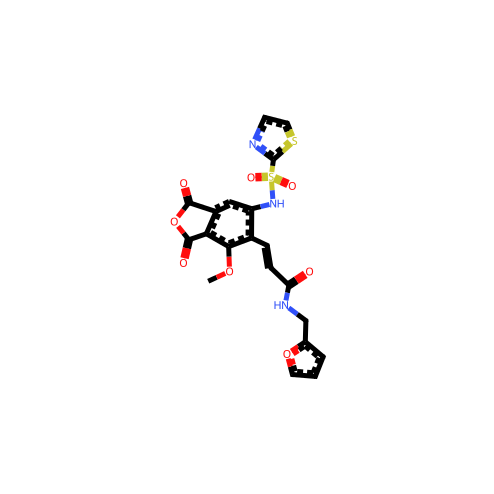 COc1c(C=CC(=O)NCc2ccco2)c(NS(=O)(=O)c2nccs2)cc2c1C(=O)OC2=O